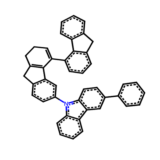 C1=C(c2cccc3c2-c2ccccc2C3)C2=C(CC1)Cc1ccc(-n3c4ccccc4c4cc(-c5ccccc5)ccc43)cc12